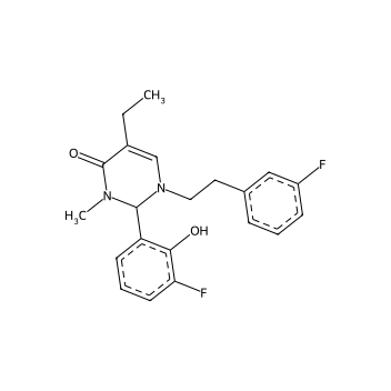 CCC1=CN(CCc2cccc(F)c2)C(c2cccc(F)c2O)N(C)C1=O